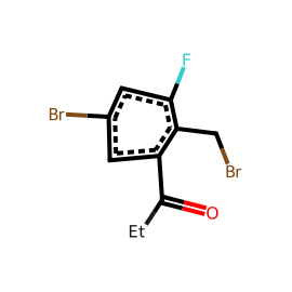 CCC(=O)c1cc(Br)cc(F)c1CBr